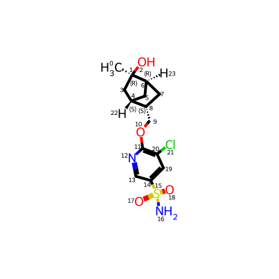 C[C@@]1(O)C[C@@H]2C[C@@H]1C[C@@H]2COc1ncc(S(N)(=O)=O)cc1Cl